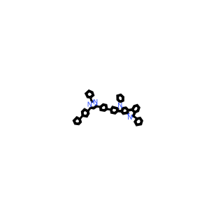 c1ccc(-c2ccc(-c3cc(-c4ccc(-c5ccc6c7cc8nc(-c9ccccc9)c9ccccc9c8cc7n(-c7ccccc7)c6c5)cc4)nc(-c4ccccc4)n3)cc2)cc1